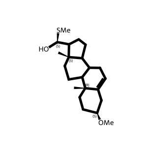 CO[C@H]1CC[C@@]2(C)C(=CCC3C4CCC([C@@H](O)SC)[C@@]4(C)CCC32)C1